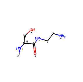 CN[C@@H](CO)C(=O)NCCN